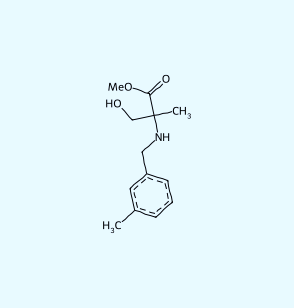 COC(=O)C(C)(CO)NCc1cccc(C)c1